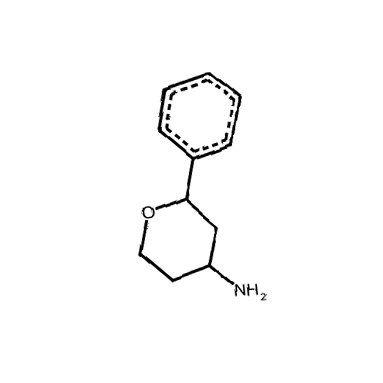 NC1CCOC(c2ccccc2)C1